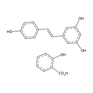 O=C(O)c1ccccc1O.Oc1ccc(C=Cc2cc(O)cc(O)c2)cc1